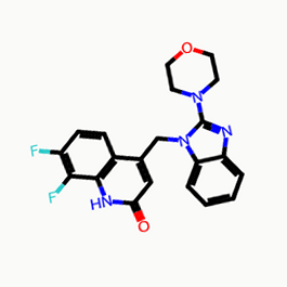 O=c1cc(Cn2c(N3CCOCC3)nc3ccccc32)c2ccc(F)c(F)c2[nH]1